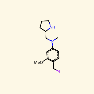 COc1cc(N(C)C[C@@H]2CCCN2)ccc1CI